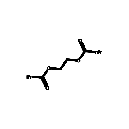 CCCC(=O)OCCOC(=O)C(C)C